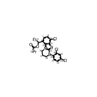 CCC(OC(=O)C(C)C)c1ccc(Cl)c2nc3n(c12)CCCN3c1ccc(Cl)cc1Cl